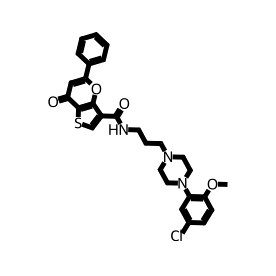 COc1ccc(Cl)cc1N1CCN(CCCNC(=O)c2csc3c(=O)cc(-c4ccccc4)oc23)CC1